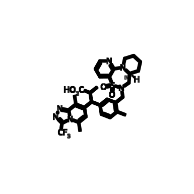 Cc1ccc(C(c2cc(C)n3c(C(F)(F)F)nnc3c2C)C(C)C(=O)O)cc1CN1C[C@@H]2CCCCN2c2ncccc2S1(=O)=O